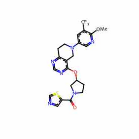 COc1ncc(N2CCc3ncnc(O[C@H]4CCN(C(=O)c5cncs5)C4)c3C2)cc1C(F)(F)F